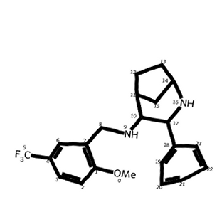 COc1ccc(C(F)(F)F)cc1CNC1C2CCC(C2)NC1c1ccccc1